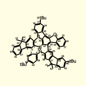 CC(C)(C)c1ccc(N2B3c4cc5c(cc4-n4c6ccc(C(C)(C)C)cc6c6c7oc8ccccc8c7c(c3c64)-c3cc4c(cc32)C(C)(C)c2ccc(C(C)(C)C)cc2-4)C(C)(C)c2ccccc2-5)cc1